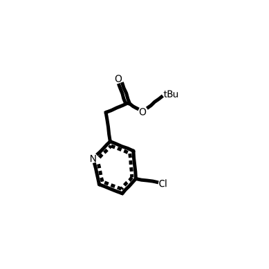 CC(C)(C)OC(=O)Cc1cc(Cl)ccn1